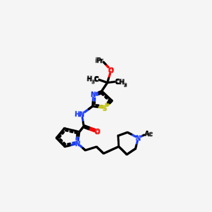 CC(=O)N1CCC(CCCn2cccc2C(=O)Nc2nc(C(C)(C)OC(C)C)cs2)CC1